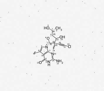 C[C@@H](O)[C@H]1O[C@@H](n2cc(F)c3c(=O)[nH]c(N)nc32)[C@@](F)(C#CCl)C1O